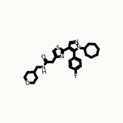 O=C(Cc1csc(-c2cnn(C3CCCCCC3)c2-c2ccc(F)cc2)n1)NCC1CCOCC1